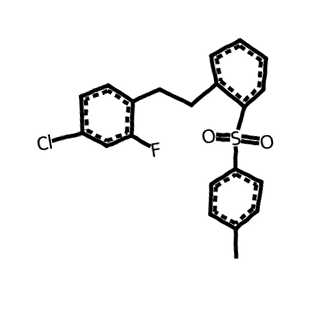 Cc1ccc(S(=O)(=O)c2ccccc2CCc2ccc(Cl)cc2F)cc1